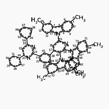 Cc1ccc2c(c1)c1cc(C)ccc1n2-c1cc(-c2cccc(-c3nc(-c4ccccc4)cc(-c4ccccc4)n3)c2)c(-n2c3ccc(C)cc3c3cc(C)ccc32)c(-n2c3ccc(C)cc3c3cc(C)ccc32)n1